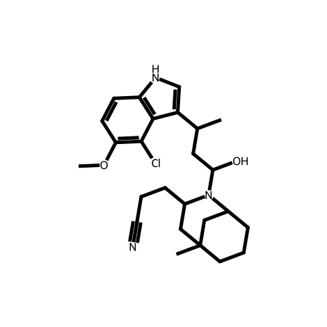 COc1ccc2[nH]cc(C(C)CC(O)N3C(CCC#N)CC4(C)CCCC3C4)c2c1Cl